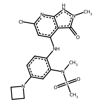 CN(c1cc(N2CCC2)ccc1Nc1cc(Cl)nc2[nH]n(C)c(=O)c12)S(C)(=O)=O